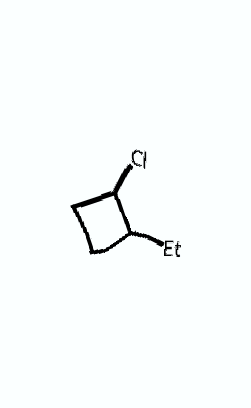 CC[C]1CCC1Cl